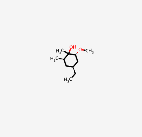 CC[C@H]1C[C@@H](C)C(C)(O)[C@H](OC)C1